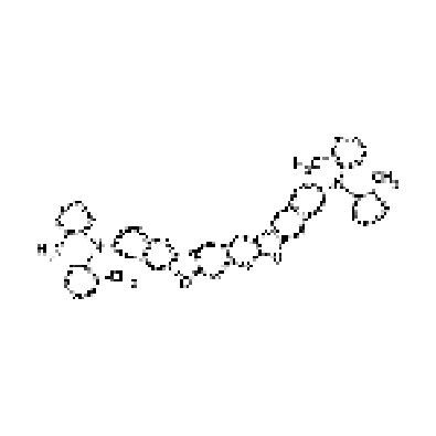 Cc1ccccc1N(c1ccc2cc3c(cc2c1)oc1cc2cc4oc5cc6cc(N(c7ccccc7C)c7ccccc7C)ccc6cc5c4cc2cc13)c1ccccc1C